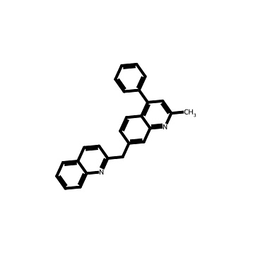 Cc1cc(-c2ccccc2)c2ccc(Cc3ccc4ccccc4n3)cc2n1